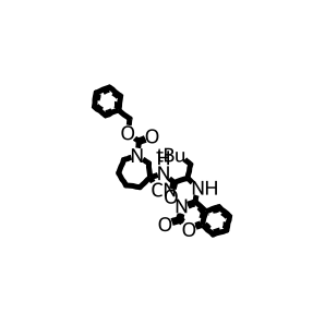 CC(C)(C)CC(Nc1nc(=O)oc2ccccc12)C(=O)NC1(C#N)CCCCN(C(=O)OCc2ccccc2)C1